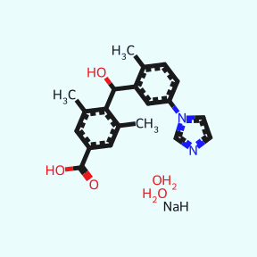 Cc1ccc(-n2ccnc2)cc1C(O)c1c(C)cc(C(=O)O)cc1C.O.O.[NaH]